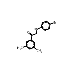 Cc1cc(C)cc(C(=O)CNc2ccc(Br)cc2)c1